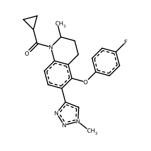 CC1CCc2c(ccc(-c3cn(C)nn3)c2Oc2ccc(F)cc2)N1C(=O)C1CC1